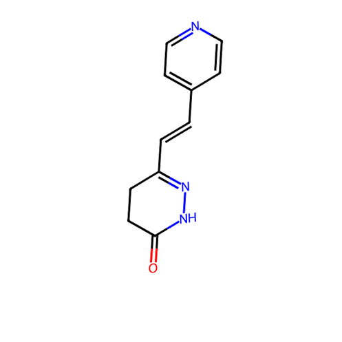 O=C1CCC(C=Cc2ccncc2)=NN1